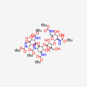 CC(C)(C)OC(=O)NCC1O[C@H](O[C@@H]2C(NC(=O)OC(C)(C)C)C[C@@H](NC(=O)OC(C)(C)C)C(O)C2O[C@@H]2O[C@H](CO)C(OC3O[C@@H](CNC(=O)OC(C)(C)C)C(O)C(O)[C@H]3NC(=O)OC(C)(C)C)C2O)C(NC(=O)OC(C)(C)C)C(O)[C@@H]1O